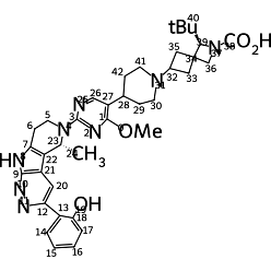 COc1nc(N2CCc3[nH]c4nnc(-c5ccccc5O)cc4c3[C@H]2C)ncc1C1CCN(C2CC3(C2)CN(C(=O)O)[C@@H]3C(C)(C)C)CC1